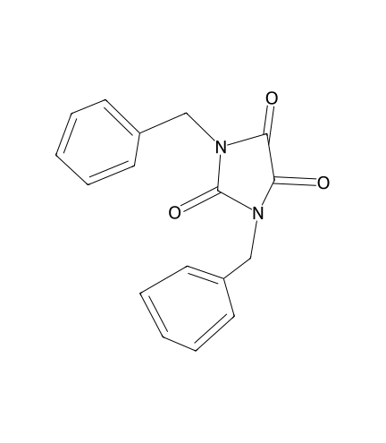 O=C1C(=O)N(Cc2ccccc2)C(=O)N1Cc1ccccc1